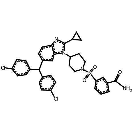 NC(=O)c1cccc(S(=O)(=O)N2CCC(n3c(C4CC4)nc4ccc(C(c5ccc(Cl)cc5)c5ccc(Cl)cc5)cc43)CC2)c1